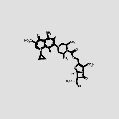 CC1CN(c2c(F)c(N)c3c(=O)c(C(=O)O)cn(C4CC4)c3c2F)CC(C)N1C(=O)OCC1=C(C(=O)O)N2C(=O)[C@@H]([C@@H](C)O)[C@H]2S1